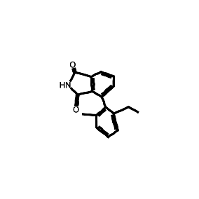 CCc1cccc(C)c1-c1cccc2c1C(=O)NC2=O